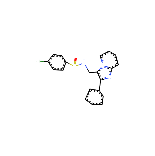 O=S(=O)(NCc1c(-c2ccccc2)nc2ccccn12)c1ccc(Cl)cc1